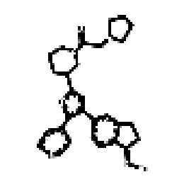 O=C(CN1CCCC1)N1CCCC(c2cc(-c3ccc4c(c3)CCC4=NO)c(-c3ccncc3)o2)C1